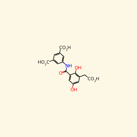 O=C(O)Cc1cc(O)cc(C(=O)Nc2cc(C(=O)O)cc(C(=O)O)c2)c1O